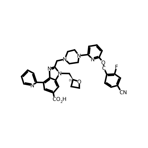 N#Cc1ccc(COc2cccc(N3CCN(Cc4nc5c(-c6ccccn6)cc(C(=O)O)cc5n4C[C@@H]4CCO4)CC3)n2)c(F)c1